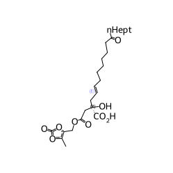 CCCCCCCC(=O)CCCCCC/C=C/C[C@@](O)(CC(=O)OCc1oc(=O)oc1C)C(=O)O